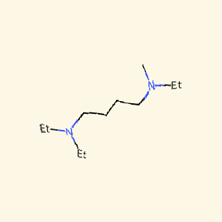 CCN(C)CCCCN(CC)CC